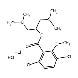 COc1c(Cl)ccc(Cl)c1C(=O)OC(CN(C)C)CN(C)C.Cl.Cl